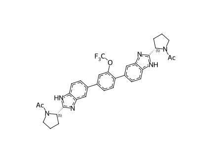 CC(=O)N1CCC[C@H]1c1nc2cc(-c3ccc(-c4ccc5[nH]c([C@@H]6CCCN6C(C)=O)nc5c4)c(OC(F)(F)F)c3)ccc2[nH]1